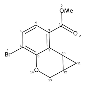 COC(=O)c1ccc(Br)c2c1C1CC1CO2